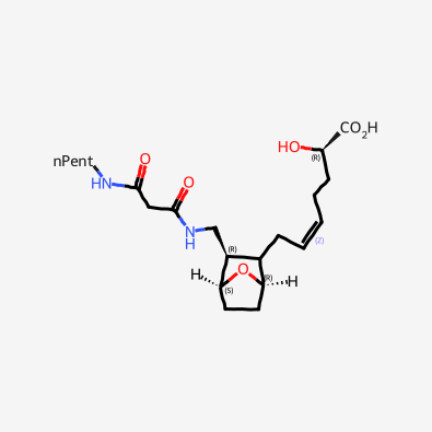 CCCCCNC(=O)CC(=O)NC[C@H]1C(C/C=C\CC[C@@H](O)C(=O)O)[C@H]2CC[C@@H]1O2